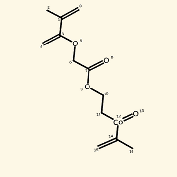 C=C(C)C(=C)OCC(=O)OC[CH2][Co](=[O])[C](=C)C